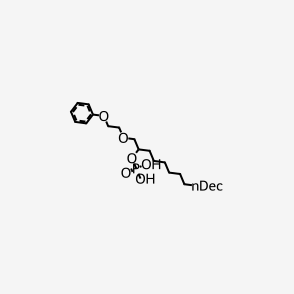 CCCCCCCCCCCCCCCCC(COCCOc1ccccc1)OP(=O)(O)O